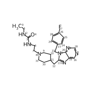 CCNC(=O)NCCN1CCC(Cc2nc3cncnc3n2Cc2ccc(F)cc2)CC1